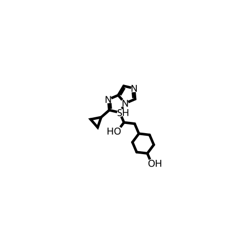 OC1CCC(CC(O)[SH]2C(C3CC3)=Nc3cncn32)CC1